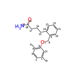 Cc1ccc(C)c(OCc2ccccc2CCCC(N)=O)c1